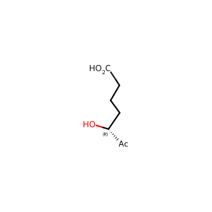 CC(=O)[C@H](O)CCCC(=O)O